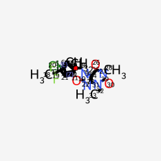 C=C(/C=C\C(Cl)=C/C)Cn1c(Oc2cccc(C(C)(F)F)c2)nc2c1c(=O)n(C)c(=O)n2CC